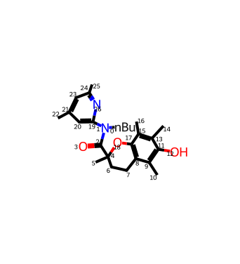 CCCCN(C(=O)C1(C)CCc2c(C)c(O)c(C)c(C)c2O1)c1cc(C)cc(C)n1